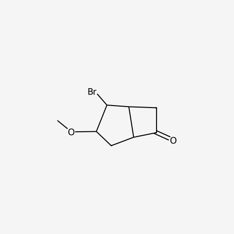 COC1CC2C(=O)CC2C1Br